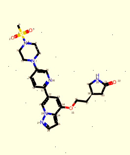 CS(=O)(=O)N1CCN(c2ccc(-c3cc(OCC[C@H]4CNC(=O)C4)c4ccnn4c3)nc2)CC1